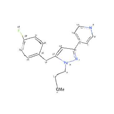 COCCn1nc(-c2ccncc2)cc1Cc1ccc(F)cc1